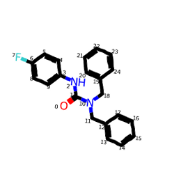 O=C(Nc1ccc(F)cc1)N(Cc1ccccc1)Cc1ccccc1